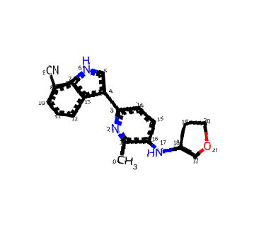 Cc1nc(-c2c[nH]c3c(C#N)cccc23)ccc1NC1CCOC1